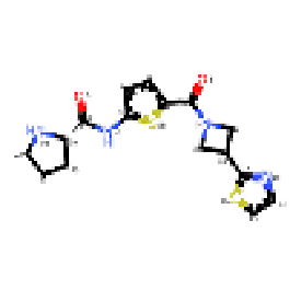 O=C(Nc1ccc(C(=O)N2CC(c3nccs3)C2)s1)[C@@H]1CCCN1